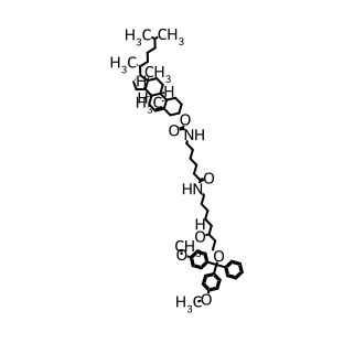 COc1ccc(C(OCCC(O)CCCCCNC(=O)CCCCCNC(=O)O[C@H]2CC[C@@]3(C)C(=CC[C@H]4[C@@H]5CC[C@H]([C@H](C)CCCC(C)C)[C@@]5(C)CC[C@@H]43)C2)(c2ccccc2)c2ccc(OC)cc2)cc1